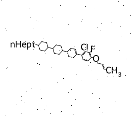 C/C=C/COc1ccc(C2=CCC(C3CCC(C4CCC(CCCCCCC)CC4)CC3)CC2)c(Cl)c1F